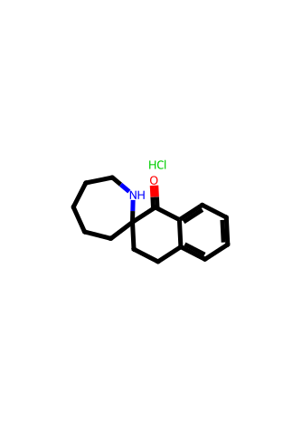 Cl.O=C1c2ccccc2CCC12CCCCCN2